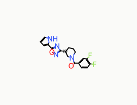 O=C(c1ccc(F)c(F)c1)N1CCC[C@H](c2noc(-c3ccc[nH]3)n2)C1